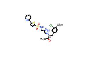 COC(=O)[C@H](Cc1ccc(OC)c(Cl)c1)n1cc(CNS(=O)(=O)c2ccc(-c3ccccn3)s2)nn1